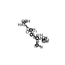 Cc1c(COc2cc(OCc3cncc(C#N)c3)c(CN[C@](C)(CO)C(=O)O)cc2Cl)cccc1-c1cccc(OCCC[AsH]C(CO)CO)c1Cl